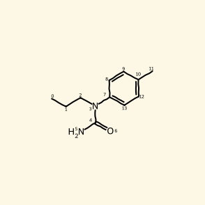 CCCN(C(N)=O)c1ccc(C)cc1